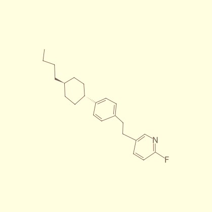 CCCC[C@H]1CC[C@H](c2ccc(CCc3ccc(F)nc3)cc2)CC1